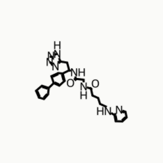 O=C(CCCCNc1ccccn1)NCC(=O)NC(Cc1nnn[nH]1)c1ccc(-c2ccccc2)cc1